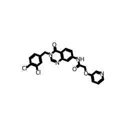 O=C(COc1cccnc1)Nc1ccc2c(=O)n(Cc3ccc(Cl)c(Cl)c3)cnc2c1